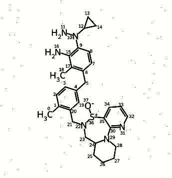 Cc1ccc(Cc2ccc(N(N)C3CC3)c(N)c2C)cc1CN1CC2CCCCN2c2ncccc2[S+]1[O-]